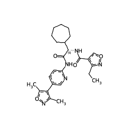 CCc1nocc1C(=O)N[C@H](C(=O)Nc1ccc(-c2c(C)noc2C)cn1)C1CCCCCC1